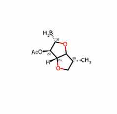 B[C@@H]1OC2[C@H](C)CO[C@@H]2[C@H]1OC(C)=O